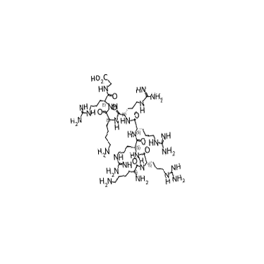 N=C(N)NCCC[C@H](NC(=O)[C@H](CCCCN)NC(=O)[C@H](CCCNC(=N)N)NC(=O)[C@H](CCCNC(=N)N)NC(=O)[C@H](CCCNC(=N)N)NC(=O)[C@H](CCCNC(=N)N)NC(=O)[C@@H](N)CCCCN)C(=O)NCC(=O)O